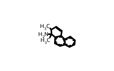 CC1C=Cc2c(ccc3ccccc23)C1(C)N